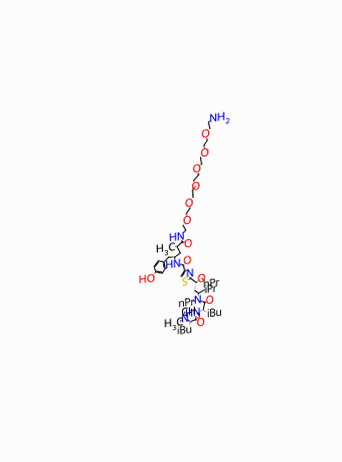 CCCO[C@H](CC(C(C)C)N(CCC)C(=O)[C@@H](NC(=O)[C@@H]([C@@H](C)CC)N(C)C)[C@@H](C)CC)c1nc(C(=O)N[C@@H](Cc2ccc(O)cc2)C[C@H](C)C(=O)NCCOCCOCCOCCOCCOCCOCCN)cs1